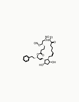 CCNC(=O)CCC/C=C\C[C@@H]1[C@@H](/C=C/[C@H](CCc2ccccc2)OC(=O)CCC[C@@H](CON=O)ON=O)[C@H](O)C[C@@H]1O